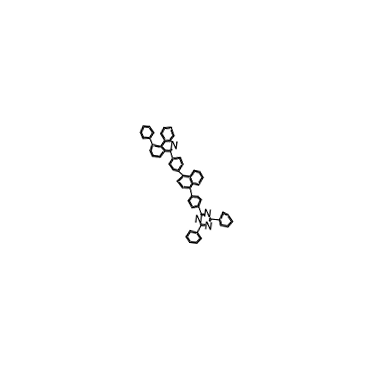 c1ccc(-c2nc(-c3ccccc3)nc(-c3ccc(-c4ccc(-c5ccc(-c6nc7ccccc7c7c(-c8ccccc8)cccc67)cc5)c5ccccc45)cc3)n2)cc1